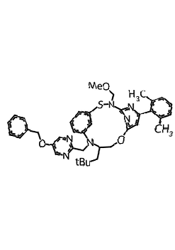 COCN1Sc2cccc(c2)N(Cc2ncc(OCc3ccccc3)cn2)C(CC(C)(C)C)COc2cc(-c3c(C)cccc3C)nc1n2